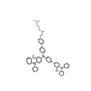 CC(C)CCCC(C)CCc1ccc(-c2ccc(N(c3ccc(-c4ccc5c(c4)Oc4ccccc4N5c4ccccc4)cc3)c3ccc4c(c3)Sc3ccccc3N4c3ccccc3)cc2)cc1